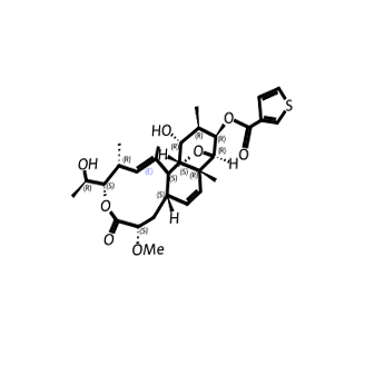 CO[C@H]1C[C@H]2C=C[C@]3(C)[C@H]4[C@H](O)[C@@H](C)[C@@H](OC(=O)c5ccsc5)[C@@H]3O[C@@]24/C(C)=C/[C@@H](C)[C@@H]([C@@H](C)O)OC1=O